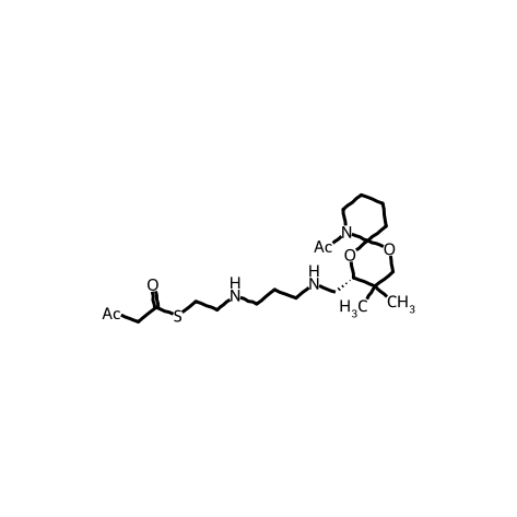 CC(=O)CC(=O)SCCNCCCNC[C@@H]1OC2(CCCCN2C(C)=O)OCC1(C)C